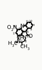 CC(CN1C(=O)c2c3ccccc3nc3c([N+](=O)[O-])ccc1c23)N(C)C